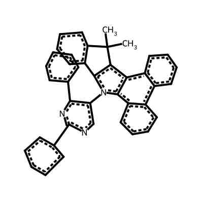 CC1(C)c2ccccc2-c2c1c1c3ccccc3c3ccccc3c1n2-c1cnc(-c2ccccc2)nc1-c1ccccc1